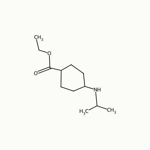 CCOC(=O)C1CCC(NC(C)C)CC1